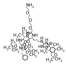 Cc1c(C)c(S(=O)(=O)NC(=N)NCCC[C@H](NC(=O)COCCOCCOCCN)C(=O)N[C@H](C(=O)N[C@@H](COC(C)(C)C)C(=O)N[C@@H](Cc2ccccc2)C(=O)OC(C)(C)C)C(C)C)c(C)c2c1OC(C)(C)C2